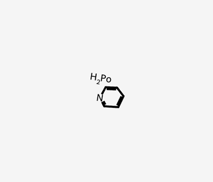 [PoH2].c1ccncc1